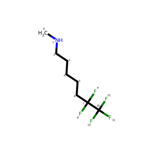 CNCCCCCC(F)(F)C(F)(F)F